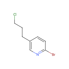 ClCCCc1ccc(Br)nc1